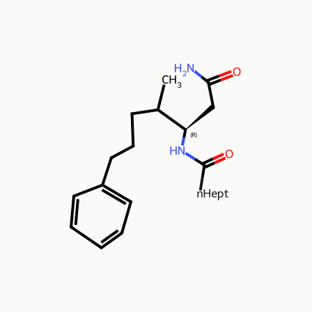 CCCCCCCC(=O)N[C@H](CC(N)=O)C(C)CCCc1ccccc1